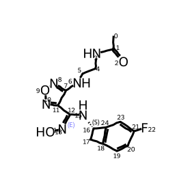 CC(=O)NCCNc1nonc1/C(=N\O)N[C@H]1Cc2ccc(F)cc21